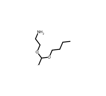 [CH2]C(OCCN)OCCCC